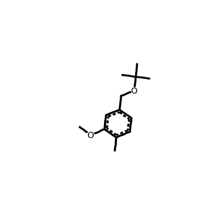 COc1cc(COC(C)(C)C)ccc1C